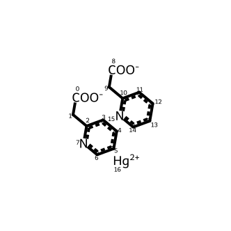 O=C([O-])Cc1ccccn1.O=C([O-])Cc1ccccn1.[Hg+2]